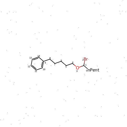 CCCCCC(Br)OCCCCCc1ccccc1